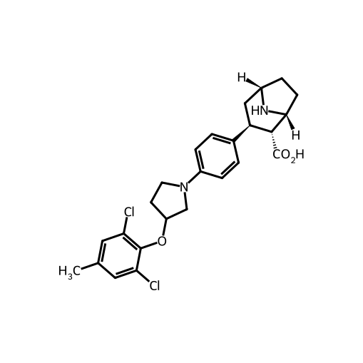 Cc1cc(Cl)c(OC2CCN(c3ccc([C@H]4C[C@@H]5CC[C@@H](N5)[C@@H]4C(=O)O)cc3)C2)c(Cl)c1